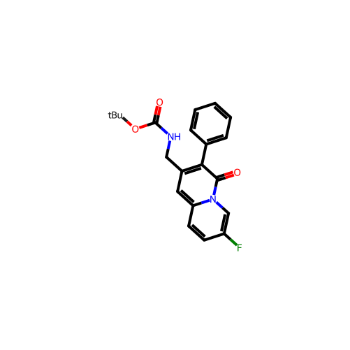 CC(C)(C)OC(=O)NCc1cc2ccc(F)cn2c(=O)c1-c1ccccc1